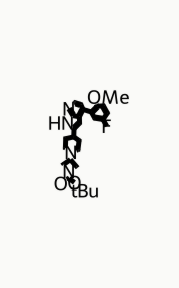 COc1ccc(F)cc1-c1ccnc2[nH]c(C3CCN(C4CN(C(=O)OC(C)(C)C)C4)CC3)cc12